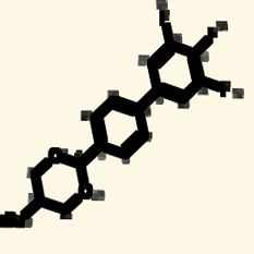 CCCCC1COC(c2ccc(-c3cc(F)c(F)c(F)c3)cc2)OC1